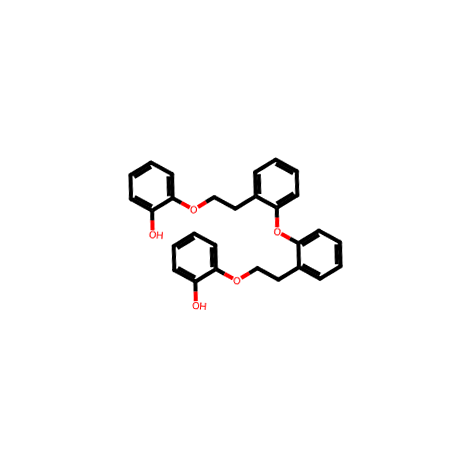 Oc1ccccc1OCCc1ccccc1Oc1ccccc1CCOc1ccccc1O